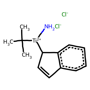 C[C](C)(C)[Ti+2]([NH2])[CH]1C=Cc2ccccc21.[Cl-].[Cl-]